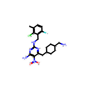 Cc1ccc(F)c(CNc2nc(N)c([N+](=O)[O-])c(CC3CCC(CN)CC3)n2)c1Cl